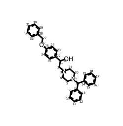 OC(CN1CCN(C(c2ccccc2)c2ccccc2)CC1)c1ccc(OCc2ccccc2)cc1